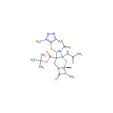 CC(=S)NC1(NC(C)=S)S[C@@H]2C(C)C(=O)N2CC1(CSc1nnnn1C)C(=O)OC(C)(C)C